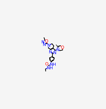 CCNC(=O)Nc1ccc(-c2nc3c(c(N4CCOC[C@@H]4C)n2)CCN(c2nnc(C)o2)C3)cc1